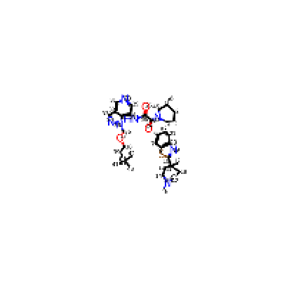 C[C@H]1CC[C@H](c2ccc3sc(C4(C)CCN(C)CC4)nc3c2)N(C(=O)C(=O)Nc2cncc3cnn(COCC[Si](C)(C)C)c23)C1